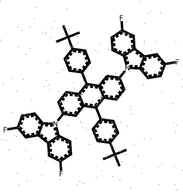 CC(C)(C)c1ccc(-c2c3ccc(-n4c5ccc(F)cc5c5cc(F)ccc54)cc3c(-c3ccc(C(C)(C)C)cc3)c3ccc(-n4c5ccc(F)cc5c5cc(F)ccc54)cc23)cc1